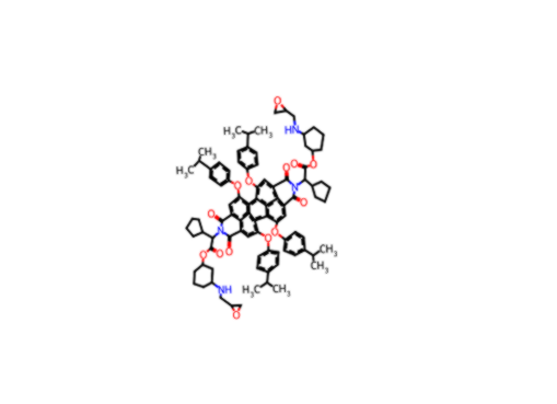 CC(C)c1ccc(Oc2cc3c4c(cc(Oc5ccc(C(C)C)cc5)c5c6c(Oc7ccc(C(C)C)cc7)cc7c8c(cc(Oc9ccc(C(C)C)cc9)c(c2c45)c86)C(=O)N(C(C(=O)OC2CCCC(NCC4CO4)C2)C2CCCC2)C7=O)C(=O)N(C(C(=O)OC2CCCC(NCC4CO4)C2)C2CCCC2)C3=O)cc1